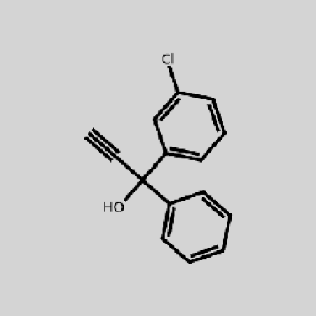 C#CC(O)(c1ccccc1)c1cccc(Cl)c1